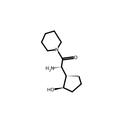 N[C@H](C(=O)N1CCCCC1)[C@@H]1CCC[C@H]1O